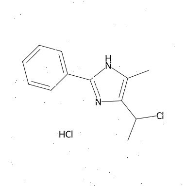 Cc1[nH]c(-c2ccccc2)nc1C(C)Cl.Cl